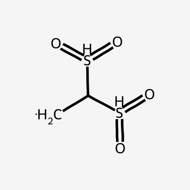 [CH2]C([SH](=O)=O)[SH](=O)=O